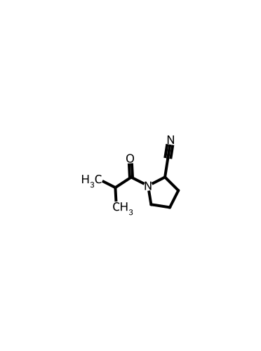 CC(C)C(=O)N1CCCC1C#N